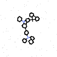 CC1(c2ccc3c(c2)c2cc(-c4ccc(N(c5ccccc5)c5cccc6ccccc56)cc4)ccc2n3-c2ccccc2)c2ccccc2-c2ccccc21